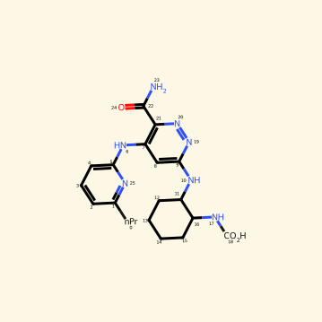 CCCc1cccc(Nc2cc(NC3CCCCC3NC(=O)O)nnc2C(N)=O)n1